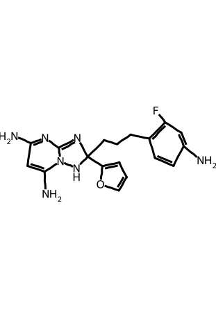 NC1=CC(N)=NC2=NC(CCCc3ccc(N)cc3F)(c3ccco3)NN12